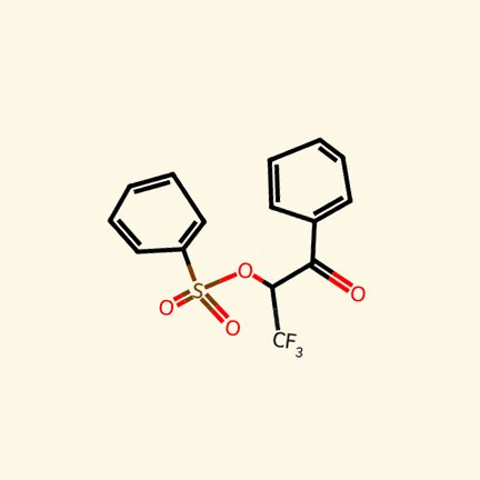 O=C(c1ccccc1)C(OS(=O)(=O)c1ccccc1)C(F)(F)F